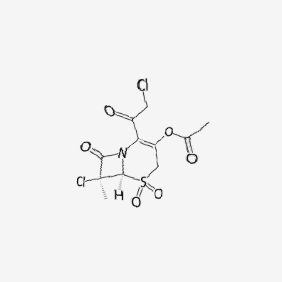 CC(=O)OC1=C(C(=O)CCl)N2C(=O)[C@](C)(Cl)[C@@H]2S(=O)(=O)C1